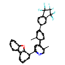 Cc1cc(-c2ccc3c(c2)C(F)(F)C(F)(F)C3(F)F)ccc1-c1cc(-c2cccc3c2oc2ccccc23)ncc1C